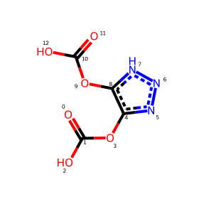 O=C(O)Oc1nn[nH]c1OC(=O)O